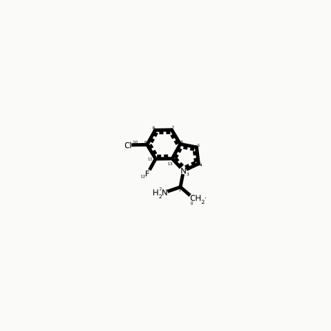 [CH2]C(N)n1ccc2ccc(Cl)c(F)c21